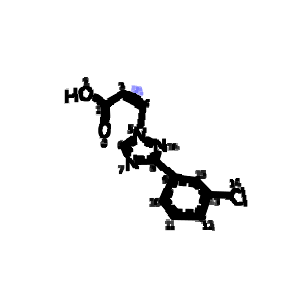 O=C(O)/C=C\n1cnc(-c2cccc(Cl)c2)n1